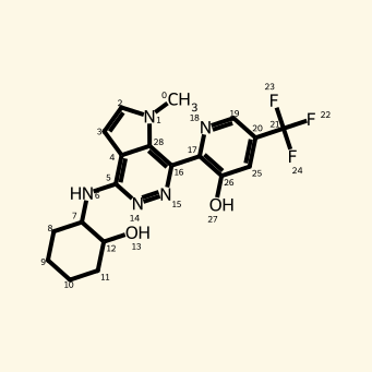 Cn1ccc2c(NC3CCCCC3O)nnc(-c3ncc(C(F)(F)F)cc3O)c21